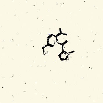 C=C(/C=C\C(NC(=C)c1ccnn1C)=C(C)C)CO